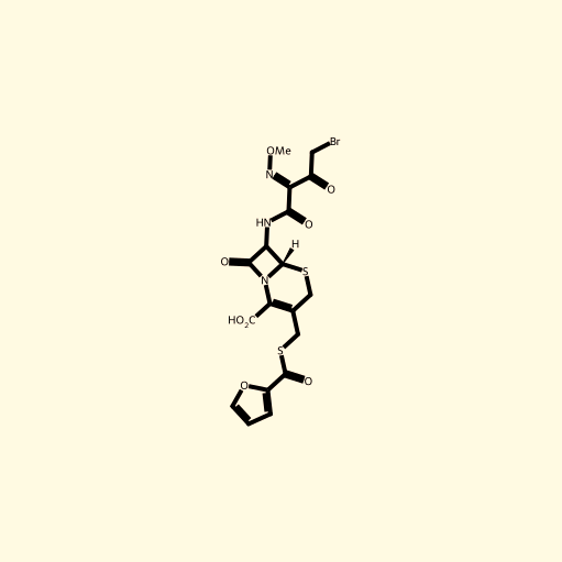 CON=C(C(=O)CBr)C(=O)NC1C(=O)N2C(C(=O)O)=C(CSC(=O)c3ccco3)CS[C@@H]12